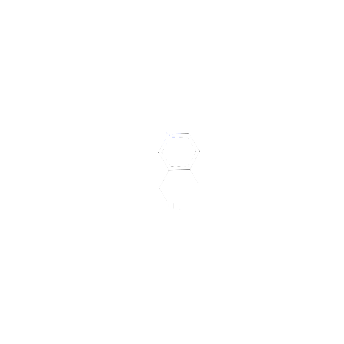 CC[C@H](c1cnccc1C(F)(F)F)C(F)(F)F